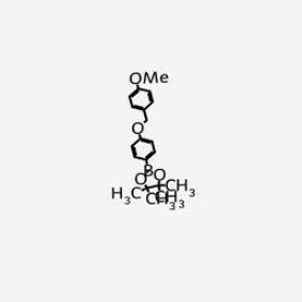 COc1ccc(COc2ccc(B3OC(C)(C)C(C)(C)O3)cc2)cc1